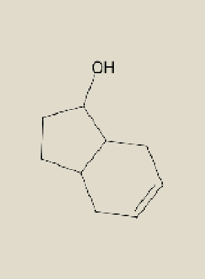 OC1CCC2CC=CCC12